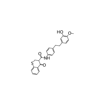 COc1ccc(CCc2ccc(NC(=O)C3CSc4ccccc4C3=O)cc2)cc1O